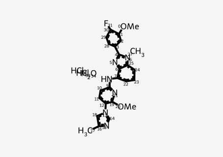 COc1cc(-c2nc3c(Nc4ccc(-n5cnc(C)c5)c(OC)n4)cccc3n2C)ccc1F.Cl.Cl.O